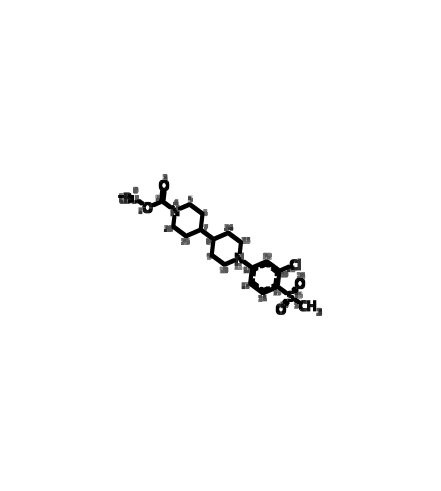 CC(C)(C)OC(=O)N1CCC(C2CCN(c3ccc(S(C)(=O)=O)c(Cl)c3)CC2)CC1